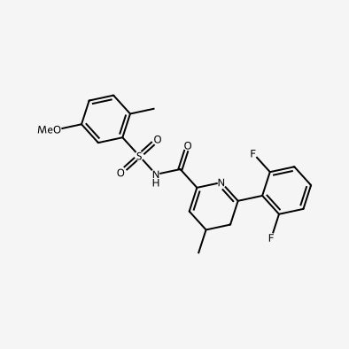 COc1ccc(C)c(S(=O)(=O)NC(=O)C2=CC(C)CC(c3c(F)cccc3F)=N2)c1